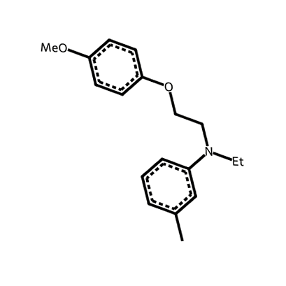 CCN(CCOc1ccc(OC)cc1)c1cccc(C)c1